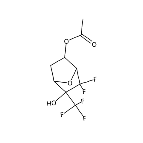 CC(=O)OC1CC2OC1C(F)(F)C2(O)C(F)(F)F